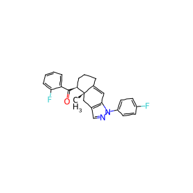 C[C@]12Cc3cnn(-c4ccc(F)cc4)c3C=C1CCC[C@@H]2C(=O)c1ccccc1F